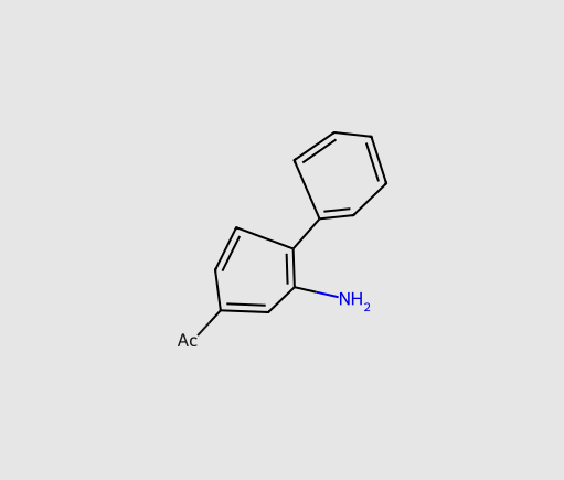 CC(=O)c1ccc(-c2ccccc2)c(N)c1